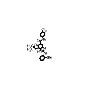 CC1(C)Cc2c(c(C(=O)Nc3ccc(C(F)(F)F)cc3)cc3nc(Nc4ccccc4C(C)(C)C)[nH]c23)O1